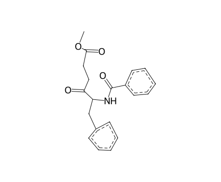 COC(=O)CCC(=O)C(Cc1ccccc1)NC(=O)c1ccccc1